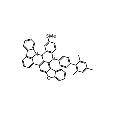 CSc1ccc2c(c1)B1c3c(cc4oc5ccccc5c4c3N2c2ccc(-c3c(C)cc(C)cc3C)cc2)-c2cccc3c4ccccc4n1c23